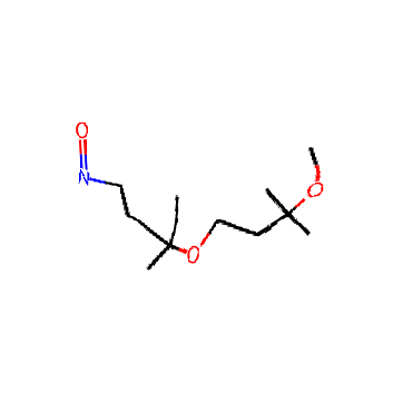 COC(C)(C)CCOC(C)(C)CCN=O